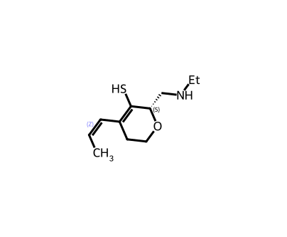 C/C=C\C1=C(S)[C@H](CNCC)OCC1